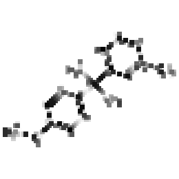 COc1ccc(C(C)(C)c2cc(C)ccn2)cc1